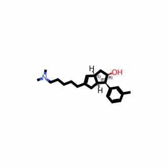 Cc1cccc([C@H]2[C@H]3CC(CCCCCN(C)C)=C[C@H]3C[C@H]2O)c1